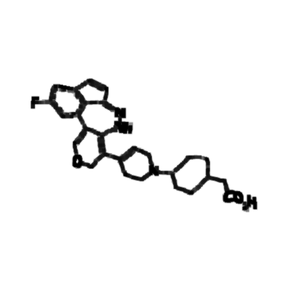 O=C(O)CC1CCC(N2CC=C(C3=C4NN=C5C=Cc6cc(F)cc(c65)C4=COC3)CC2)CC1